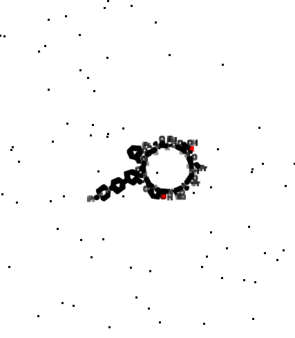 CC[C@H](C)[C@@H]1NC(=O)[C@@H]2CCCN2C(=O)[C@H](Cc2cccc(-c3ccc(N4CCN(C(C)C)CC4)cc3)c2)N(C)C(=O)[C@H](Cc2ccccc2)NC(=O)[C@H](C(C)C)N(C)C(=O)[C@@H]([C@@H](C)CC)OC(=O)[C@H](C(C)(C)O)N(C)C(=O)[C@H](CC(C)C)NC(=O)[C@H](C(C)C)N(C)C1=O